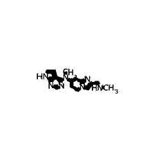 CNCc1cn2c(n1)CC(N(C)c1ncnc3[nH]ccc13)CC2